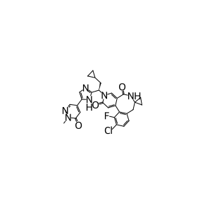 Cn1ncc(-c2cnc([C@@H](CC3CC3)n3cc4c(cc3=O)-c3c(ccc(Cl)c3F)CC3(CC3)NC4=O)[nH]2)cc1=O